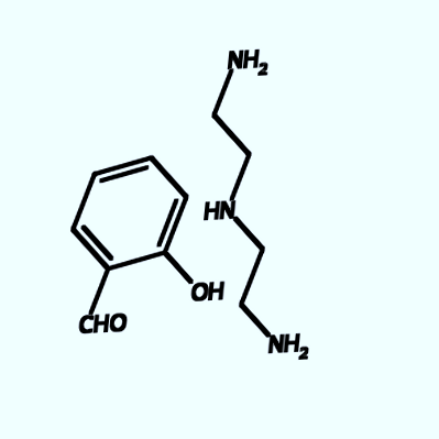 NCCNCCN.O=Cc1ccccc1O